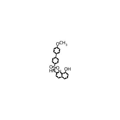 COc1ccc(-c2ccc(S(=O)(=O)Nc3ccc4cccc(O)c4n3)cc2)cc1